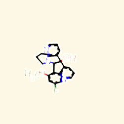 COc1cc(F)ccc1C(N1CCCC1)C(O)(c1cccnc1)c1cccnc1